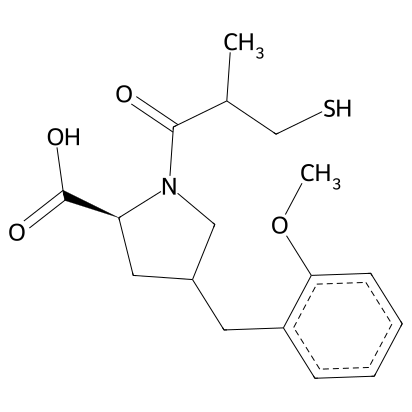 COc1ccccc1CC1C[C@@H](C(=O)O)N(C(=O)C(C)CS)C1